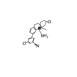 CO[C@H]1CC[C@@]2(CCc3ccc(-c4cc(Cl)cc(C#N)c4)cc3[C@]23N=C(C)C(N)=N3)CC1